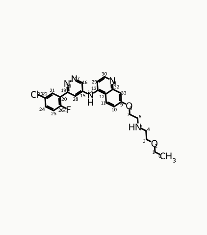 CCOCCNCCOc1ccc2c(Nc3cnnc(-c4cc(Cl)ccc4F)c3)ccnc2c1